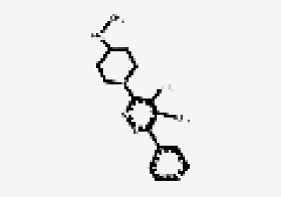 CNC1CCN(c2nnc(-c3ccncc3)c(C)c2C)CC1